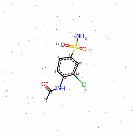 [CH2]C(=O)Nc1ccc(S(N)(=O)=O)cc1Cl